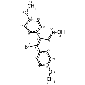 COc1ccc(C(Br)=C(C=NO)c2ccc(OC)cc2)cc1